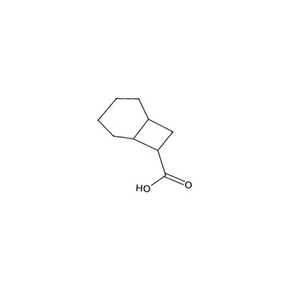 O=C(O)C1CC2CCCCC21